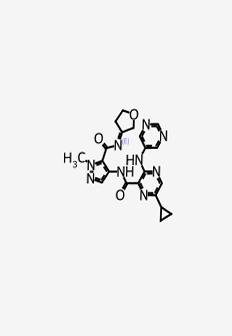 Cn1ncc(NC(=O)c2nc(C3CC3)cnc2Nc2cncnc2)c1C(=O)/N=C1\CCOC1